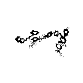 CC1(CN2CCN(C(=O)OC(C)(C)C)CC2)CCC(c2ccc(Cl)cc2)=C(CN2CCN(c3ccc(C(=O)NS(=O)(=O)c4ccc(NC(CCN5CCc6cccnc6C5)CSc5ccccc5)c(S(=O)(=O)C(F)(F)F)c4)cc3)CC2)C1